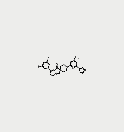 Cc1cc(-c2cncs2)nc(N2CCC3(CC2)CN2CC[C@@H](c4cc(F)cc(F)c4)N2C3=O)c1